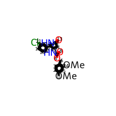 COc1ccc(COC(=O)N[C@H]2CC(=O)N[C@@H]2c2cccc(Cl)c2)c(OC)c1